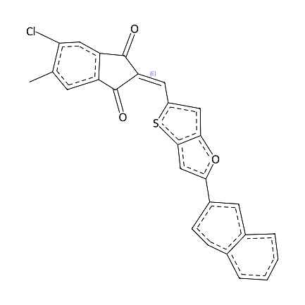 Cc1cc2c(cc1Cl)C(=O)/C(=C/c1cc3oc(-c4ccc5ccccc5c4)cc3s1)C2=O